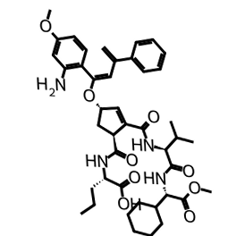 C=C(/C=C(/O[C@@H]1C=C(C(=O)N[C@H](C(=O)N[C@H](C(=O)OC)C2CCCCC2)C(C)C)[C@@H](C(=O)N[C@@H](CCC)C(=O)O)C1)c1ccc(OC)cc1N)c1ccccc1